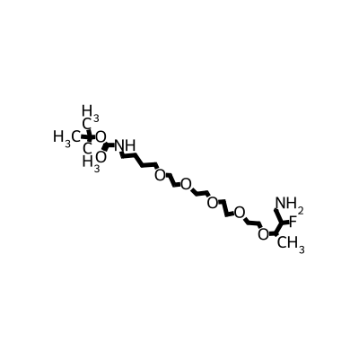 CC(OCCOCCOCCOCCOCCCCNC(=O)OC(C)(C)C)C(F)CN